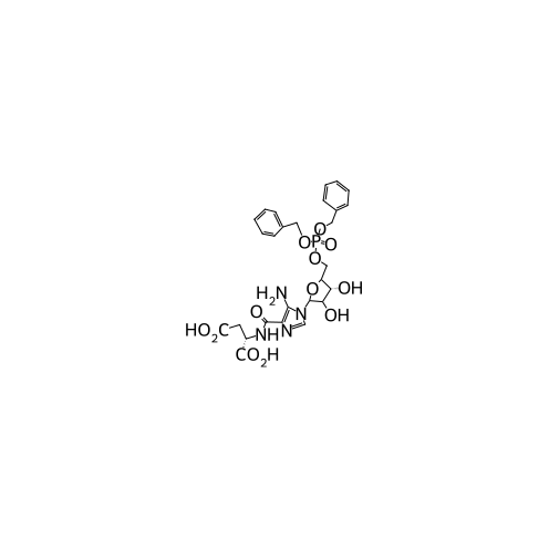 Nc1c(C(=O)N[C@@H](CC(=O)O)C(=O)O)ncn1C1OC(COP(=O)(OCc2ccccc2)OCc2ccccc2)[C@H](O)C1O